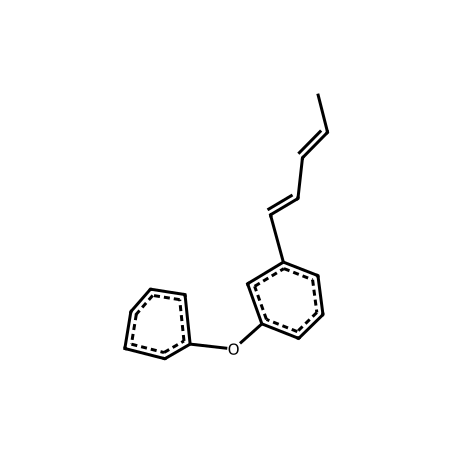 CC=CC=Cc1cccc(Oc2ccccc2)c1